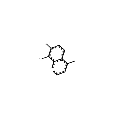 Cc1ccnc2c([N+](=O)[O-])c(Cl)ccc12